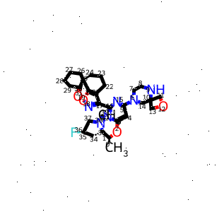 C[C@H](Oc1cc(N2CCNC3(COC3)C2)nc(-c2noc3c2CCC[C@@]32CCCCC2=O)n1)[C@@H]1C[C@@H](F)CN1C